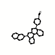 N#Cc1ccc(-c2cc3cc(-c4ccc5ccccc5c4)c4ccccc4c3c3ccccc23)cc1